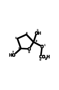 O=C(O)OC1(O)CCC(O)O1